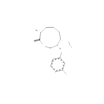 CCCO[C@H]1CCC[C@H](N)C(=O)O[C@@H](C)[C@@H]1Oc1cccc(F)c1